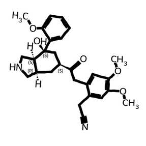 COc1cc(CC#N)c(CC(=O)[C@H]2C[C@H]3CNC[C@H]3[C@](O)(c3ccccc3OC)C2)cc1OC